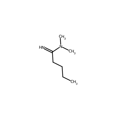 CCCCC(=N)N(C)C